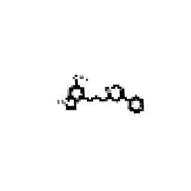 COc1cc(CCCC2CC(c3ccccc3)=CCN2)c2cc[nH]c2c1